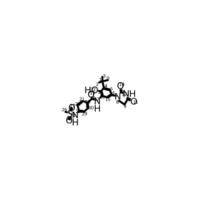 CC(C)(C)c1cc(N2CCC(=O)NC2=O)cc(NC(=O)c2ccc(NS(C)(=O)=O)cc2)c1O